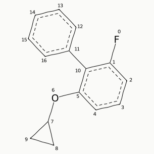 Fc1cccc(OC2CC2)c1-c1ccccc1